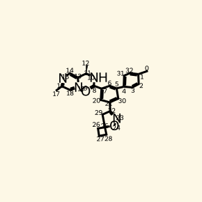 Cc1ccc(-c2cc(C(=O)N[C@H](C)c3cnc(C)cn3)cc(C3=NOC4(CCC4)C3)c2)cc1